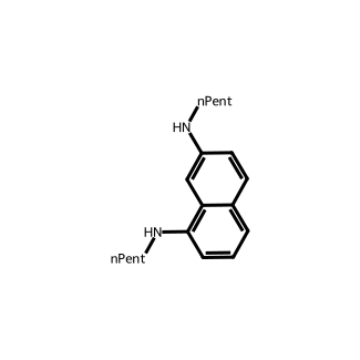 CCCCCNc1ccc2cccc(NCCCCC)c2c1